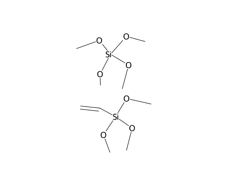 C=C[Si](OC)(OC)OC.CO[Si](OC)(OC)OC